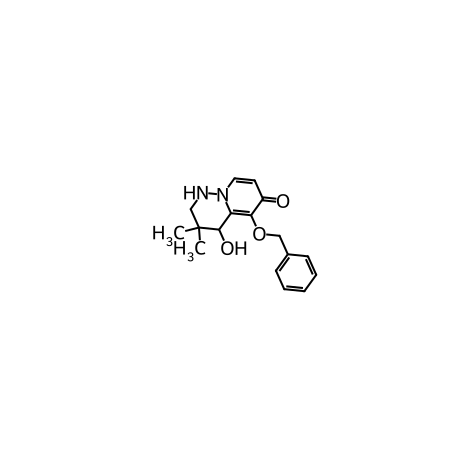 CC1(C)CNn2ccc(=O)c(OCc3ccccc3)c2C1O